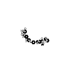 CC(C)Oc1cc2nc([C@H]3CC[C@H](CN4CCC(c5ccc6c(c5)n(C)c(=O)n6C5CCC(=O)NC5=O)C(F)(F)C4)CC3)cn2cc1C(=O)Nc1cnn2cccnc12